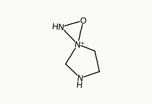 C1C[N+]2(CN1)NO2